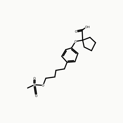 CS(=O)(=O)OCCCCc1ccc(OC2(C(=O)O)CCCC2)cc1